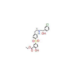 CCOC(=O)c1cc(S(=O)(=O)c2ccc(C[C@@H](C)NC[C@@H](O)c3cccc(Cl)c3)cc2)ccc1O